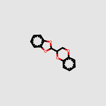 c1ccc2c(c1)OC[C](C1Oc3ccccc3O1)O2